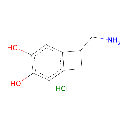 Cl.NCC1Cc2cc(O)c(O)cc21